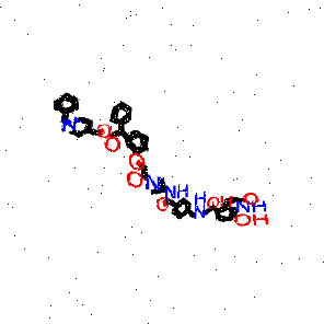 O=C(NC1CN(C(=O)COc2cccc(C(C(=O)OCC3CCN(Cc4ccccc4)CC3)c3ccccc3)c2)C1)c1ccc(CNC[C@H](O)c2ccc(O)c3[nH]c(=O)ccc23)cc1